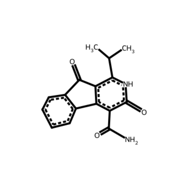 CC(C)c1[nH]c(=O)c(C(N)=O)c2c1C(=O)c1ccccc1-2